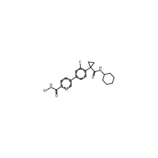 CCNC(=O)c1ccc(-c2ccc(C3(C(=O)NC4CCCCC4)CC3)c(F)c2)cn1